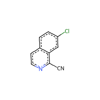 N#Cc1nccc2ccc(Cl)cc12